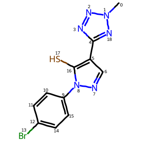 Cn1nnc(-c2cnn(-c3ccc(Br)cc3)c2S)n1